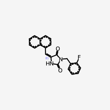 O=C1N/C(=C/c2cccc3ccccc23)C(=O)N1Cc1ccccc1F